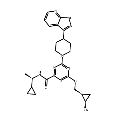 C[C@@H](NC(=O)c1nc(OC[C@H]2C[C@H]2C#N)nc(N2CCC(c3n[nH]c4ncccc34)CC2)n1)C1CC1